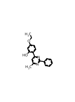 CCOc1ccc(-c2cc(C)nc(-c3ccccc3)n2)c(O)c1